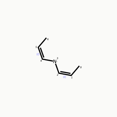 C/C=C\[N]/C=C\C